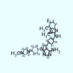 Cc1c(F)ccc2nc(Nc3ccc(-c4cn([C@H]5CC[C@H](N6CCN(C)CC6)CC5)c5ncnc(N)c45)cc3)n(C)c12